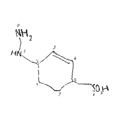 NNC1C=CC(S(=O)(=O)O)CC1